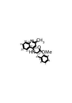 COC(=O)[C@H](Cc1ccccc1)Nc1cc(C)nc2ccccc12